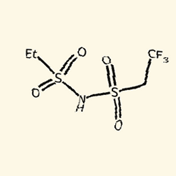 CCS(=O)(=O)NS(=O)(=O)CC(F)(F)F